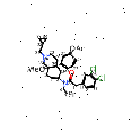 CO[C@]12CC[C@@H](N(CC(C)C)C(=O)Cc3ccc(Cl)c(Cl)c3)C[C@]1(c1cccc(OC(C)=O)c1)CCN(CC1CC1)C2